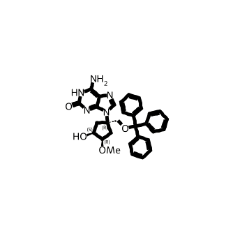 CO[C@@H]1C[C@](COC(c2ccccc2)(c2ccccc2)c2ccccc2)(n2cnc3c(N)[nH]c(=O)nc32)C[C@@H]1O